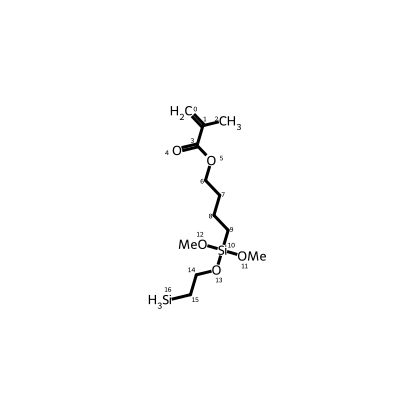 C=C(C)C(=O)OCCCC[Si](OC)(OC)OCC[SiH3]